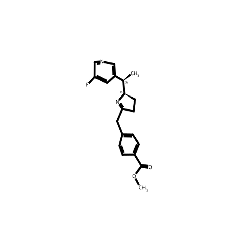 COC(=O)c1ccc(CC2=N[C@@H]([C@H](C)c3cncc(F)c3)CC2)cc1